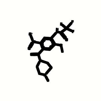 COc1cc(C(=O)N2CCN(C)CC2)c([N+](=O)[O-])cc1NC(=O)C(F)(F)F